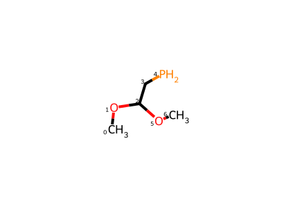 COC(CP)OC